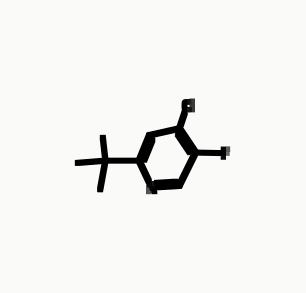 CC(C)(C)c1cc(Cl)c(F)cn1